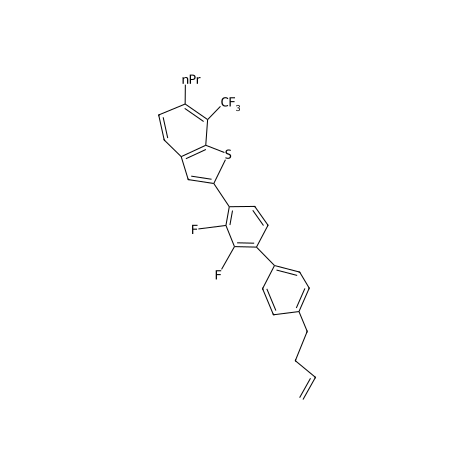 C=CCCc1ccc(-c2ccc(-c3cc4ccc(CCC)c(C(F)(F)F)c4s3)c(F)c2F)cc1